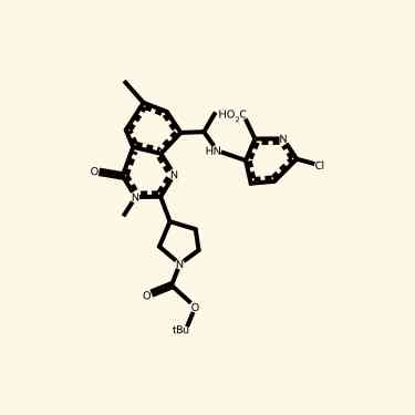 Cc1cc(C(C)Nc2ccc(Cl)nc2C(=O)O)c2nc(C3CCN(C(=O)OC(C)(C)C)C3)n(C)c(=O)c2c1